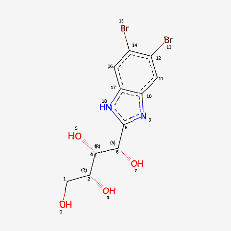 OC[C@@H](O)[C@H](O)[C@@H](O)c1nc2cc(Br)c(Br)cc2[nH]1